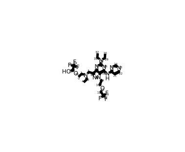 CCN(CC)Cc1nn(CCOCC(F)(F)F)c2c(Nc3ccncn3)nc(N(CC)CC)nc12.O=C(O)C(F)(F)F